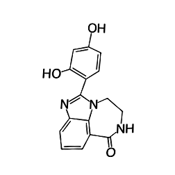 O=C1NCCn2c(-c3ccc(O)cc3O)nc3cccc1c32